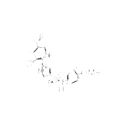 COc1ccc(NS(=O)(=O)c2cnn(-c3ncc(CF)cc3Cl)c2)cc1